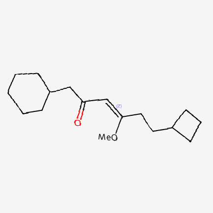 CO/C(=C\C(=O)CC1CCCCC1)CCC1CCC1